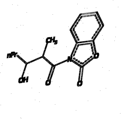 CCCC(O)C(C)C(=O)n1c(=O)oc2ccccc21